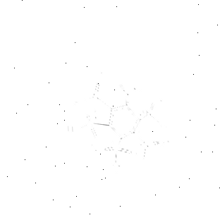 O=[N+]([O-])c1c([N+](=O)[O-])c([N+](=O)[O-])c(S(=O)(=O)O)c(S(=O)(=O)O)c1[N+](=O)[O-]